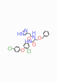 O=C(Cc1c[nH]cn1)NC(COCc1ccccc1)C(=O)Nc1ccc(Oc2ccc(Cl)cc2)c(Cl)c1